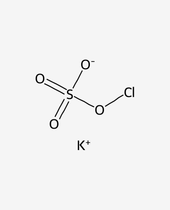 O=S(=O)([O-])OCl.[K+]